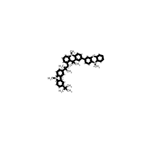 CN1c2ccccc2Sc2cc(-c3ccc4c(c3)C(C)(C)c3c(CC(C)(C)c5ccc6c(c5)c5cc(C(C)(C)C)ccc5n6C)cccc3N4C)ccc21